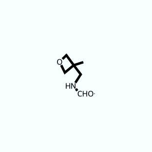 CC1(CN[C]=O)COC1